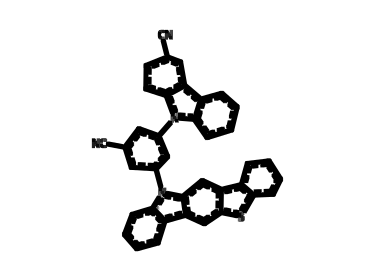 N#Cc1cc(-n2c3ccccc3c3cc(C#N)ccc32)cc(-n2c3ccccc3c3cc4sc5ccccc5c4cc32)c1